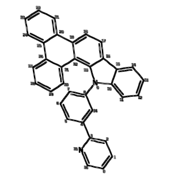 c1ccc(-c2cccc(-n3c4ccccc4c4ccc5c6ccccc6c6ccccc6c5c43)c2)nc1